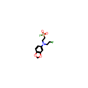 O=S(=O)(F)CCN(CCF)c1ccc2c(c1)OCO2